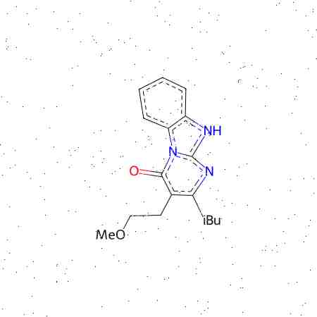 CCC(C)c1nc2[nH]c3ccccc3n2c(=O)c1CCOC